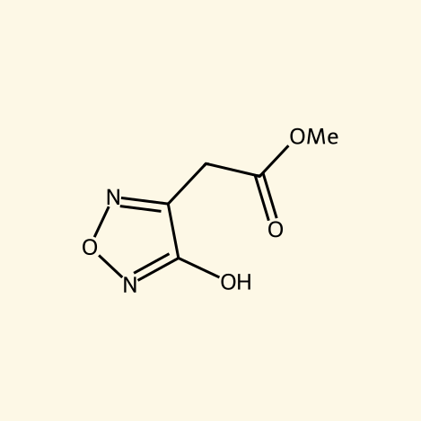 COC(=O)Cc1nonc1O